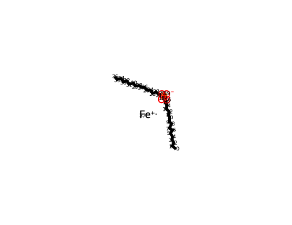 CCCCCCCCCCCCCCCCOP(=O)([O-])OCCCCCCCCCCCCCCCC.[Fe+]